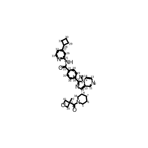 CC1(C(=O)N2CCC[C@@H](C3=C4C=NC=C[N+]4(N)C(c4ccc(C(=O)Nc5cc(C6CCC6)ccn5)cc4)=N3)C2)COC1